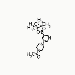 CC(=O)N1CCN(c2cncc(B3OC(C)(C)C(C)(C)O3)c2)CC1